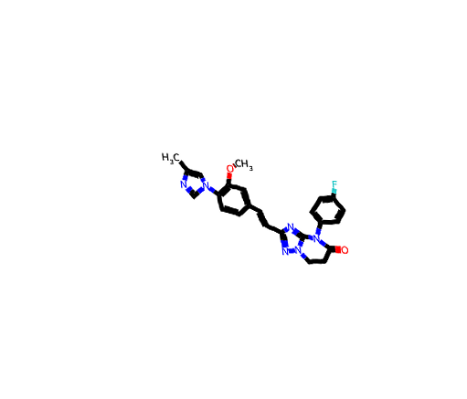 COc1cc(C=Cc2nc3n(n2)CCC(=O)N3c2ccc(F)cc2)ccc1-n1cnc(C)c1